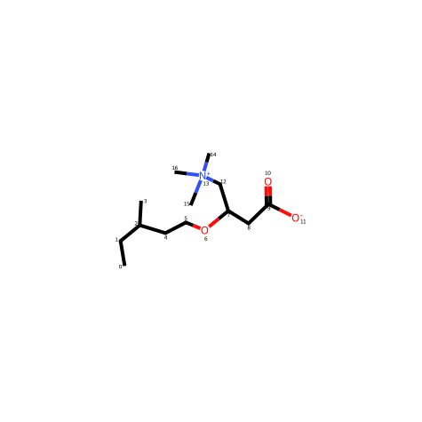 CCC(C)CCOC(CC(=O)[O-])C[N+](C)(C)C